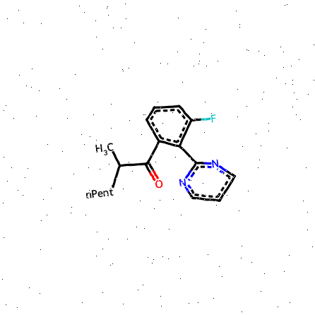 CCCCCC(C)C(=O)c1cccc(F)c1-c1ncccn1